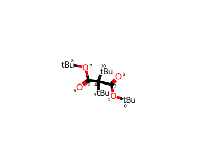 CC(C)(C)OC(=O)C(C(=O)OC(C)(C)C)(C(C)(C)C)C(C)(C)C